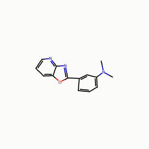 CN(C)c1cccc(-c2nc3ncccc3o2)c1